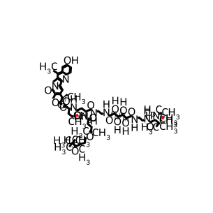 CCc1c2c(nc3ccc(O)cc13)-c1cc3c(c(=O)n1C2)COC(=O)[C@@]3(CC)OC(=O)C(CC(C)C)NC(=O)CC(NC(=O)CCC(C)(C)OCCC(C)(C)C(=O)C(C)(C)C)C(=O)NCCNC(=O)[C@H](O)[C@@H](O)[C@@H](O)[C@H](O)C(=O)NCCNC(=O)C(NC(C)(C)C)C(C)(C)C